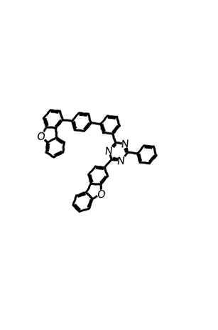 c1ccc(-c2nc(-c3cccc(-c4ccc(-c5cccc6oc7ccccc7c56)cc4)c3)nc(-c3ccc4c(c3)oc3ccccc34)n2)cc1